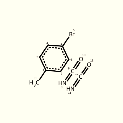 Cc1ccc(Br)cc1.N=C=O.N=C=O